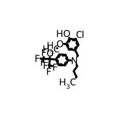 CCCCN(Cc1cc(Cl)c(O)c(OC)c1)c1ccc(C(O)(C(F)(F)F)C(F)(F)F)cc1